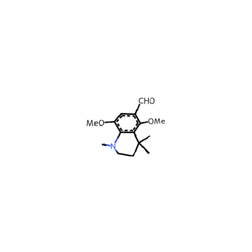 COc1cc(C=O)c(OC)c2c1N(C)CCC2(C)C